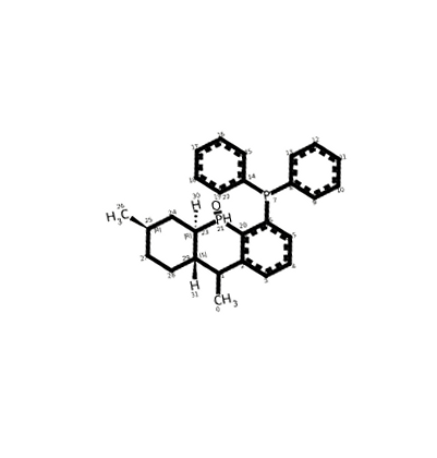 CC1c2cccc(P(c3ccccc3)c3ccccc3)c2[PH](=O)[C@@H]2C[C@H](C)CC[C@@H]12